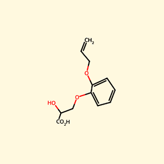 C=CCOc1ccccc1OCC(O)C(=O)O